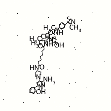 Cc1ncsc1-c1ccc([C@H](C)NC(=O)[C@@H]2C[C@@H](O)CN2C(=O)[C@@H](NC(=O)CCCCCCC(=O)NC2CCN(c3cc(-c4ccccc4O)nnc3N)CC2)C(C)(C)C)cc1